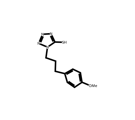 COc1ccc(CCCn2nnnc2S)cc1